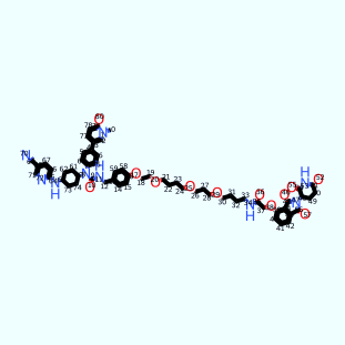 Cn1cc(-c2ccc(N(C(=O)NCc3ccc(OCCOCCCCOCCCOCCCCNC(=O)COc4cccc5c4C(=O)N(C4CCC(=O)NC4=O)C5=O)cc3)[C@H]3CC[C@H](Nc4ccc(C#N)cn4)CC3)cc2)ccc1=O